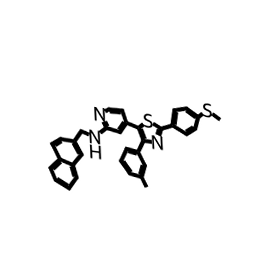 CSc1ccc(-c2nc(-c3cccc(C)c3)c(-c3ccnc(NCc4ccc5ccccc5c4)c3)s2)cc1